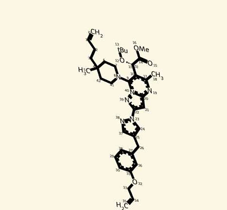 C=CCCC1(C)CCN(c2c([C@H](OC(C)(C)C)C(=O)OC)c(C)nc3cc(-n4cc(Cc5cccc(OCC=C)c5)cn4)nn23)CC1